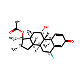 CCCC(=O)O[C@]1(C(=O)O)[C@@H](C)C[C@H]2[C@@H]3C[C@H](F)C4=CC(=O)C=C[C@]4(C)[C@H]3[C@@H](O)C[C@@]21C